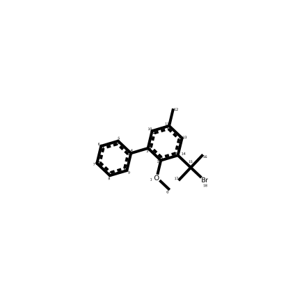 COc1c(-c2ccccc2)cc(C)cc1C(C)(C)Br